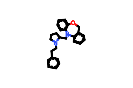 c1ccc(CCN2CCCC2CN2c3ccccc3COc3ccccc32)cc1